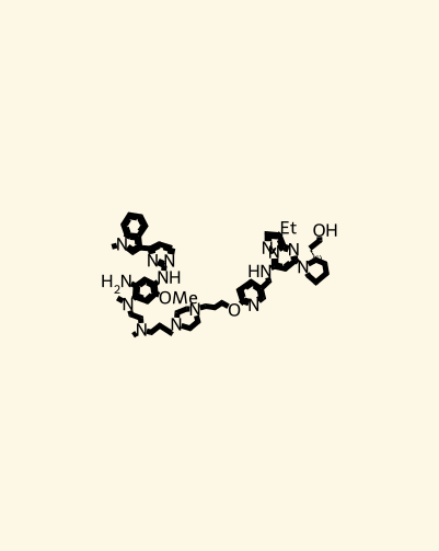 CCc1cnn2c(NCc3ccc(OCCCN4CCN(CCCN(C)CCN(C)c5cc(OC)c(Nc6nccc(-c7cn(C)c8ccccc78)n6)cc5N)CC4)nc3)cc(N3CCCC[C@H]3CCO)nc12